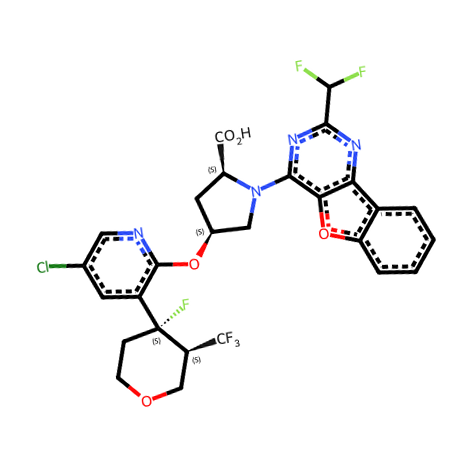 O=C(O)[C@@H]1C[C@H](Oc2ncc(Cl)cc2[C@]2(F)CCOC[C@@H]2C(F)(F)F)CN1c1nc(C(F)F)nc2c1oc1ccccc12